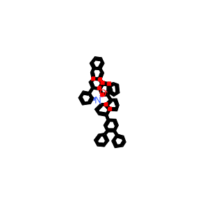 C1=C(c2ccccc2N(c2ccc(-c3ccc(-c4ccccc4)c(-c4ccccc4)c3)cc2)c2cc(-c3ccc4ccccc4c3)ccc2-c2ccccc2)c2oc3ccccc3c2CC1